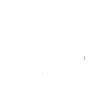 O=C=NC(=O)c1ccn2ccccc12